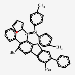 Cc1ccc([Si](c2ccc(C)cc2)=[Zr]([C]2=CC=CC2)[c]2c3c(cc(C(C)(C)C)c2-c2ccccc2)-c2cc(C(C)(C)C)c(-c4ccccc4)cc2C3)cc1